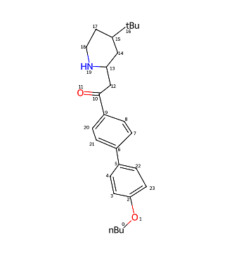 CCCCOc1ccc(-c2ccc(C(=O)CC3CC(C(C)(C)C)CCN3)cc2)cc1